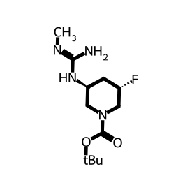 C/N=C(\N)N[C@H]1C[C@H](F)CN(C(=O)OC(C)(C)C)C1